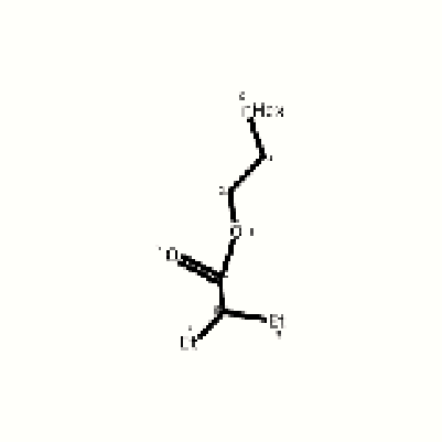 CCCCCCCCOC(=O)C(CC)CC